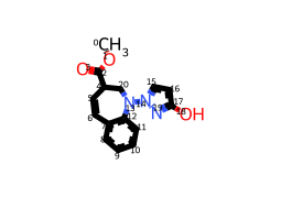 COC(=O)C1C=Cc2ccccc2N(n2ccc(O)n2)C1